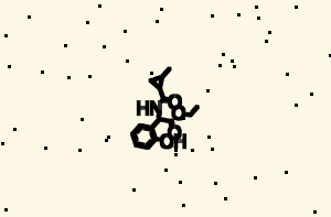 CCOC(=O)C(NC(=O)C1CC1C)c1ccccc1O